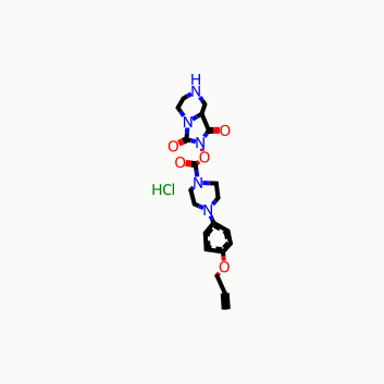 C#CCOc1ccc(N2CCN(C(=O)ON3C(=O)C4CNCCN4C3=O)CC2)cc1.Cl